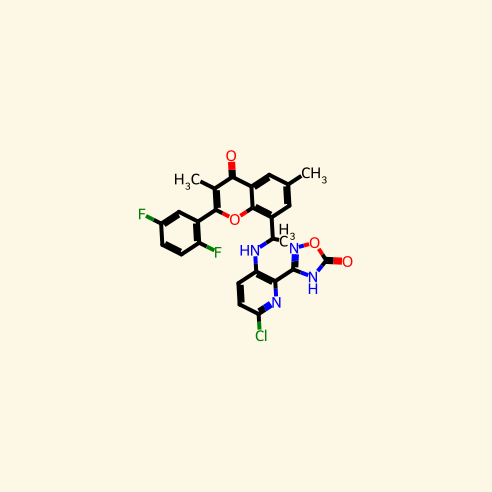 Cc1cc(C(C)Nc2ccc(Cl)nc2-c2noc(=O)[nH]2)c2oc(-c3cc(F)ccc3F)c(C)c(=O)c2c1